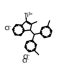 CC1=[C]([Ti+3])c2ccccc2C1C(c1cccc(C)c1)c1cccc(C)c1.[Cl-].[Cl-].[Cl-]